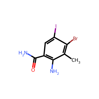 Cc1c(N)c(C(N)=O)cc(I)c1Br